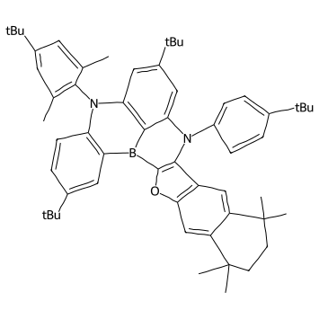 Cc1cc(C(C)(C)C)cc(C)c1N1c2ccc(C(C)(C)C)cc2B2c3oc4cc5c(cc4c3N(c3ccc(C(C)(C)C)cc3)c3cc(C(C)(C)C)cc1c32)C(C)(C)CCC5(C)C